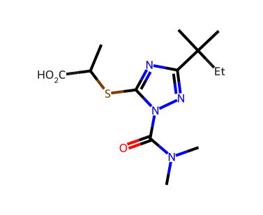 CCC(C)(C)c1nc(SC(C)C(=O)O)n(C(=O)N(C)C)n1